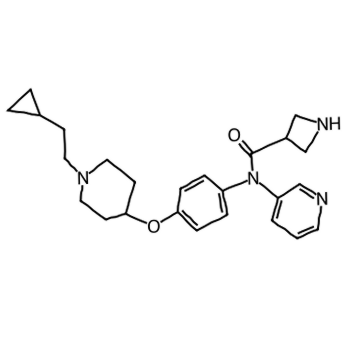 O=C(C1CNC1)N(c1ccc(OC2CCN(CCC3CC3)CC2)cc1)c1cccnc1